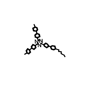 CCCCCCc1ccc(-c2ccc(-c3nc(-c4ccc(-c5ccc(C)cc5)cc4)nc(-c4ccc(-c5ccc(C)cc5)cc4)n3)cc2)cc1